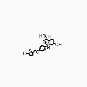 O=C(NO)C1CCC(O)CN1S(=O)(=O)c1ccc(OCc2ccc(Cl)s2)cc1